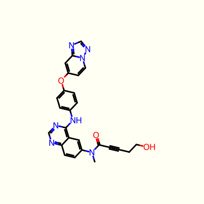 CN(C(=O)C#CCCO)c1ccc2ncnc(Nc3ccc(Oc4ccn5ncnc5c4)cc3)c2c1